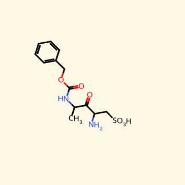 CC(NC(=O)OCc1ccccc1)C(=O)C(N)CS(=O)(=O)O